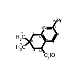 CC(C)c1ccc2c(n1)CC(C)(C)CC2C=O